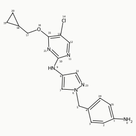 Nc1ccc(Cn2cc(Nc3ncc(Cl)c(OCC4CC4)n3)cn2)cc1